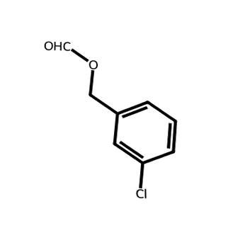 O=COCc1cccc(Cl)c1